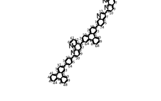 c1cnc2c(c1)ccc1ccc(-c3cnc4cc(-c5ccc6c7ccc(-c8cc9ccc(-c%10ccc(-c%11ccc%12c%13ccccc%13c%13ccccc%13c%12c%11)cc%10)nc9c9ncccc89)cc7c7ccccc7c6c5)ccc4c3)nc12